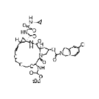 CC(C)(C)OC(=O)N[C@H]1CCCCC/C=C\[C@@H]2C[C@@]2(C(=O)NS(=O)(=O)NC2CC2)NC(=O)[C@@H]2C[C@@H](OC(=O)N3Cc4ccc(Cl)cc4C3)CN2C1=O